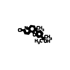 CC(C)(O)c1ccc(C2(C)CCc3nc(Cl)ccc3C2=O)cc1